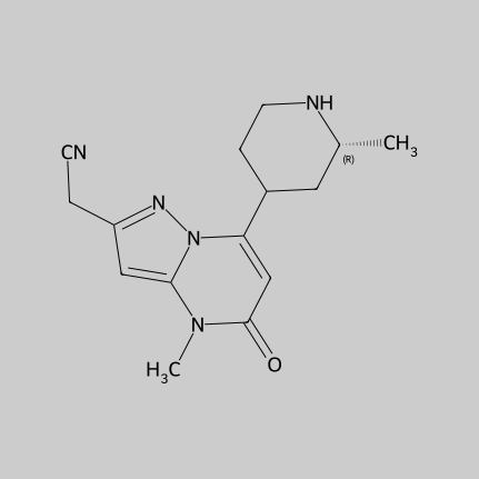 C[C@@H]1CC(c2cc(=O)n(C)c3cc(CC#N)nn23)CCN1